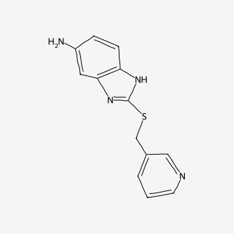 Nc1ccc2[nH]c(SCc3cccnc3)nc2c1